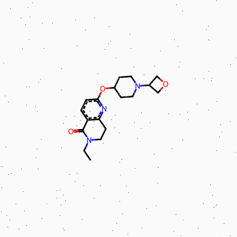 CCN1CCc2nc(OC3CCN(C4COC4)CC3)ccc2C1=O